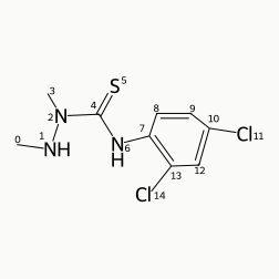 CNN(C)C(=S)Nc1ccc(Cl)cc1Cl